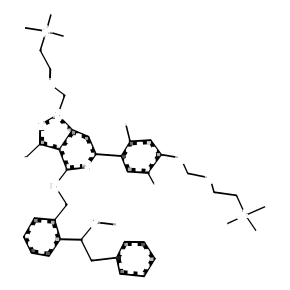 CCc1cc(OCOCC[Si](C)(C)C)c(F)cc1-c1cc2c(c(I)nn2COCC[Si](C)(C)C)c(NCc2ccccc2C(Cc2ccccc2)NC(=O)O)n1